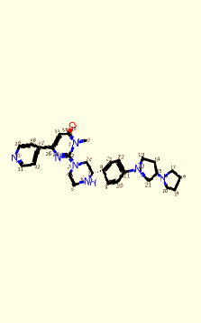 Cn1c(N2CCN[C@@H](c3ccc(N4CCC(N5CCCC5)C4)cc3)C2)nc(-c2ccncc2)cc1=O